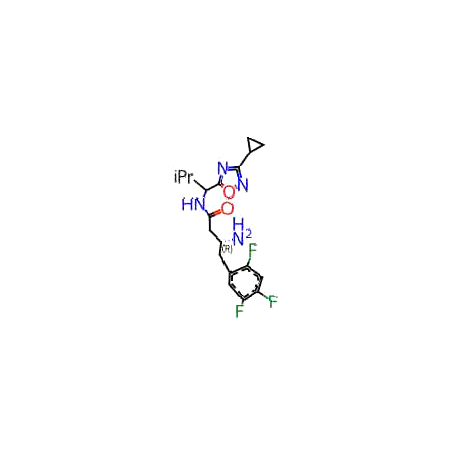 CC(C)C(NC(=O)C[C@H](N)Cc1cc(F)c(F)cc1F)c1nc(C2CC2)no1